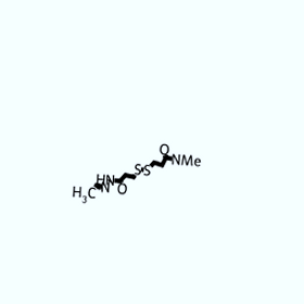 C/C=N/NC(=O)CCSSCCC(=O)NC